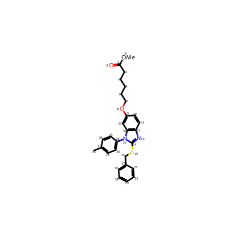 COC(=O)CCCCCOc1ccc2nc(SCc3ccccc3)n(-c3ccc(C)cc3)c2c1